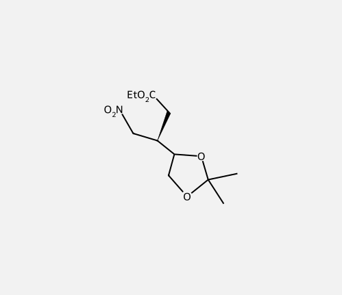 CCOC(=O)C[C@H](C[N+](=O)[O-])C1COC(C)(C)O1